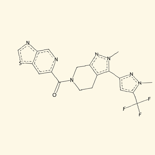 Cn1nc(-c2c3c(nn2C)CN(C(=O)c2cc4scnc4cn2)CC3)cc1C(F)(F)F